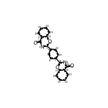 O=c1nc(-c2ccc(-c3nc(=O)c4ccccc4o3)cc2)oc2ccccc12